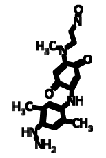 Cc1cc(NC2=CC(=O)C(N(C)CCN=O)=CC2=O)c(C)cc1NN